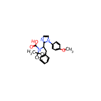 COc1ccc(-n2ccnc2C(Cc2ccccc2)N(C(=O)O)C(C)(C)C)cc1